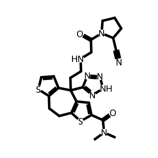 CN(C)C(=O)c1cc2c(s1)CCc1sccc1C2(CCNCC(=O)N1CCCC1C#N)c1nn[nH]n1